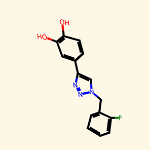 Oc1ccc(-c2cn(Cc3ccccc3F)nn2)cc1O